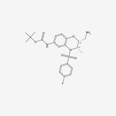 C[C@H]1[C@@H](CN)Oc2ccc(NC(=O)OC(C)(C)C)cc2N1S(=O)(=O)c1ccc(F)cc1